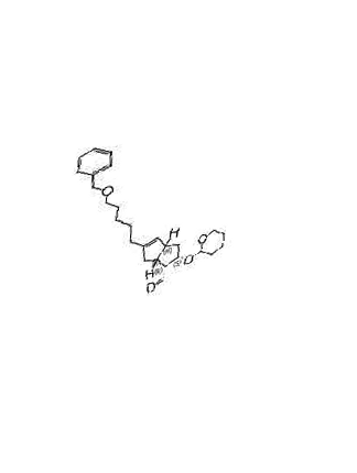 O=C[C@@H]1[C@@H]2CC(CCCCCOCc3ccccc3)=C[C@@H]2C[C@@H]1OC1CCCCO1